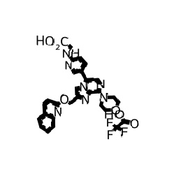 O=C(O)C(F)(F)F.O=C(O)CNc1ccc(-c2cnc(N3CCOCC3)c3nc(COc4ccc5ccccc5n4)cn23)cn1